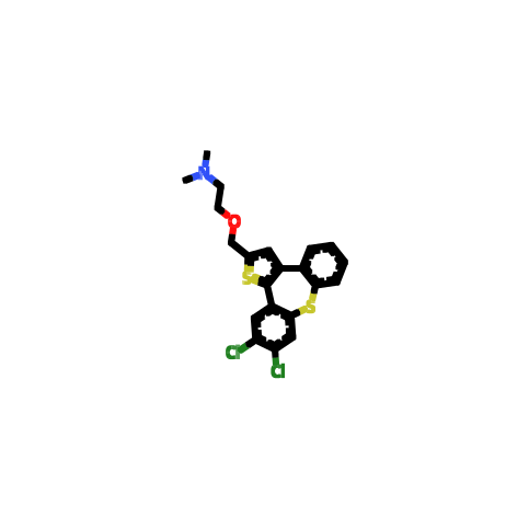 CN(C)CCOCc1cc2c(s1)-c1cc(Cl)c(Cl)cc1Sc1ccccc1-2